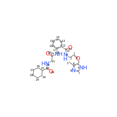 O=C[C@H](Cc1c[nH]cn1)NC(=O)c1ccccc1NC(=O)CNC(=O)C1CCCCC1